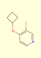 Ic1cnccc1OC1CCC1